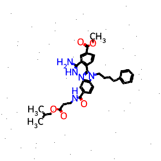 COC(=O)c1ccc(-c2nc3cc(C(=O)NCCC(=O)OCC(C)C)ccc3n2CCCCc2ccccc2)c(C(=N)N)c1